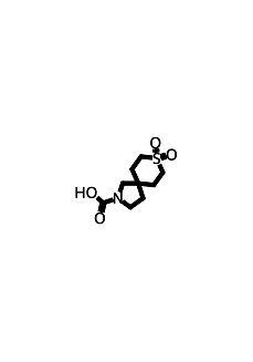 O=C(O)N1CCC2(CCS(=O)(=O)CC2)C1